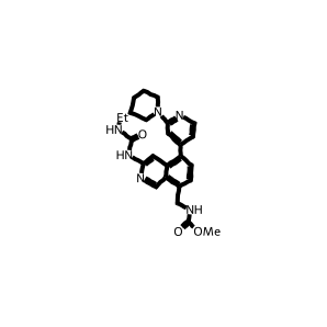 CCNC(=O)Nc1cc2c(-c3ccnc(N4CCCCC4)c3)ccc(CNC(=O)OC)c2cn1